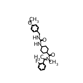 COc1ccc(CNC(=O)NC2CCC(C(=O)N(C)[C@@H](C)c3ccccc3F)CC2)cc1